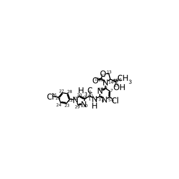 C[C@H](Nc1nc(Cl)cc(N2C(=O)OCC2[C@@H](C)O)n1)c1cn(-c2ccc(Cl)cc2)cn1